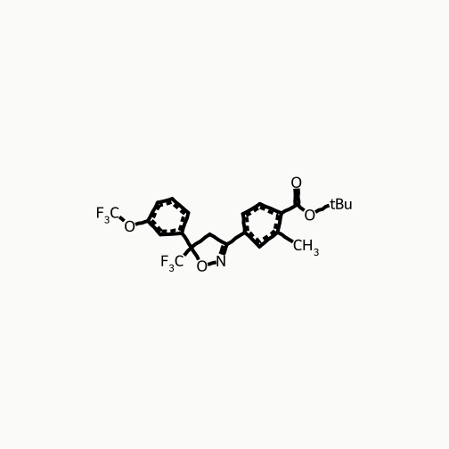 Cc1cc(C2=NOC(c3cccc(OC(F)(F)F)c3)(C(F)(F)F)C2)ccc1C(=O)OC(C)(C)C